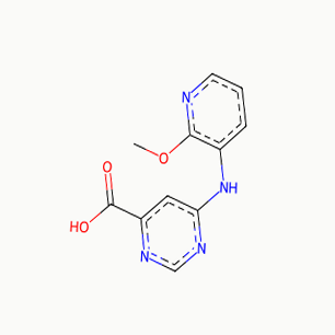 COc1ncccc1Nc1cc(C(=O)O)ncn1